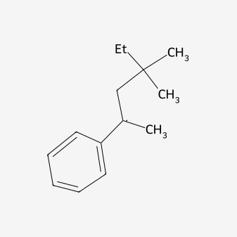 CCC(C)(C)C[C](C)c1ccccc1